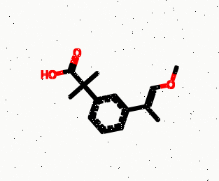 COC=C(C)c1cccc(C(C)(C)C(=O)O)c1